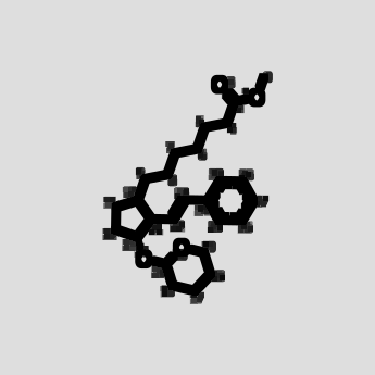 COC(=O)CCCCCCC1CC[C@@H](OC2CCCCO2)C1/C=C/c1ccccc1